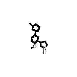 COc1ccc(-c2cccc(C)c2)cc1C1CCNC1